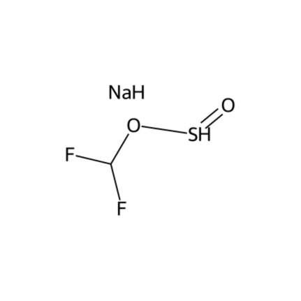 O=[SH]OC(F)F.[NaH]